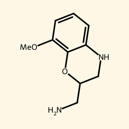 COc1cccc2c1OC(CN)CN2